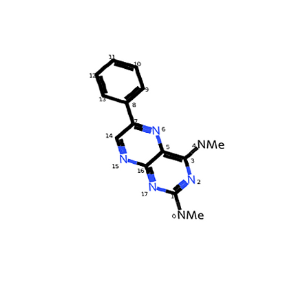 CNc1nc(NC)c2nc(-c3ccccc3)cnc2n1